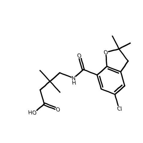 CC(C)(CNC(=O)c1cc(Cl)cc2c1OC(C)(C)C2)CC(=O)O